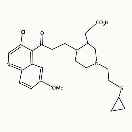 COc1ccc2ncc(Cl)c(C(=O)CCC3CCN(CCSC4CC4)CC3CC(=O)O)c2c1